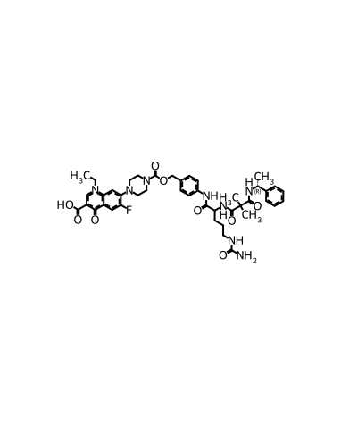 CCn1cc(C(=O)O)c(=O)c2cc(F)c(N3CCN(C(=O)OCc4ccc(NC(=O)C(CCCNC(N)=O)NC(=O)C(C)(C)C(=O)N[C@H](C)c5ccccc5)cc4)CC3)cc21